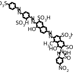 Cc1c(N=Nc2ccc3c(O)c(N=Nc4ccc(N=Nc5ccc(S(=O)(=O)O)cc5)cc4S(=O)(=O)O)c(S(=O)(=O)O)cc3c2)cc(S(=O)(=O)O)c2cc(S(=O)(=O)O)c(N=Nc3ccc([N+](=O)[O-])cc3S(=O)O)c(O)c12